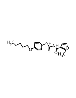 CCCCCOc1ccc(NC(=S)NC(=O)c2ccoc2C)cc1